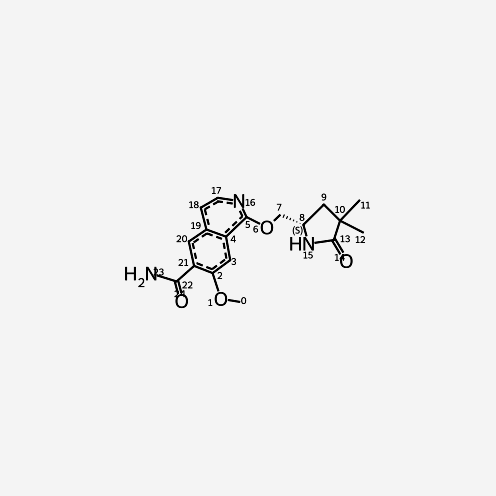 COc1cc2c(OC[C@@H]3CC(C)(C)C(=O)N3)nccc2cc1C(N)=O